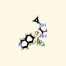 C[C@H](CNC1CC1)NS(=O)(=O)c1ccc2cnccc2c1.Cl.Cl